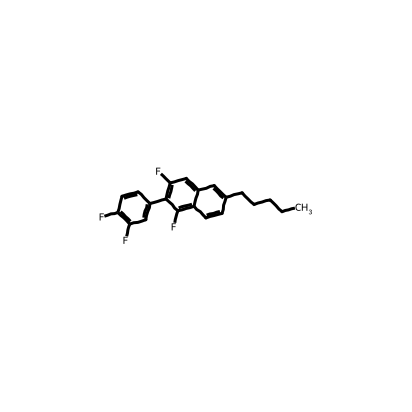 CCCCCc1ccc2c(F)c(-c3ccc(F)c(F)c3)c(F)cc2c1